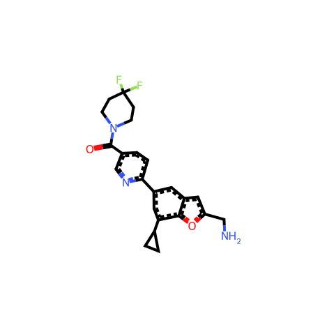 NCc1cc2cc(-c3ccc(C(=O)N4CCC(F)(F)CC4)cn3)cc(C3CC3)c2o1